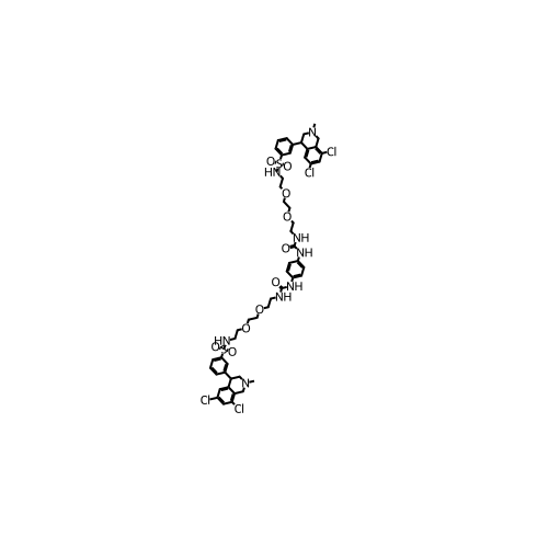 CN1Cc2c(Cl)cc(Cl)cc2C(c2cccc(S(=O)(=O)NCCOCCOCCNC(=O)Nc3ccc(NC(=O)NCCOCCOCCNS(=O)(=O)c4cccc(C5CN(C)Cc6c(Cl)cc(Cl)cc65)c4)cc3)c2)C1